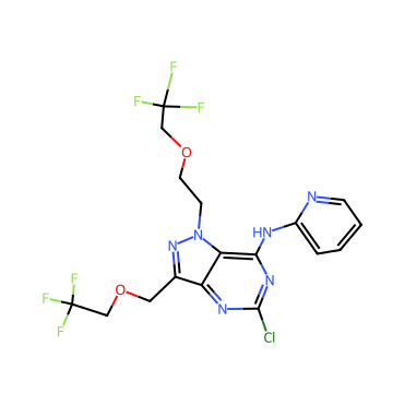 FC(F)(F)COCCn1nc(COCC(F)(F)F)c2nc(Cl)nc(Nc3ccccn3)c21